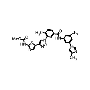 COC(=O)Nc1ncc(-c2cn(-c3cc(C(=O)Nc4cc(-n5cnc(C)c5)cc(C(F)(F)F)c4)ccc3C)nn2)s1